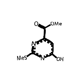 COC(=O)c1cc(O)nc(SC)n1